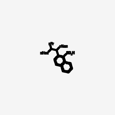 CCCCCCCCCC(c1ccc2ccccc2c1S(=O)(=O)O)C(CCC)CCCCCC